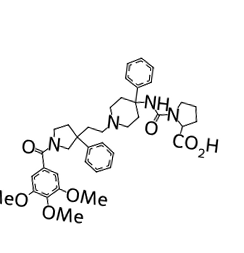 COc1cc(C(=O)N2CCC(CCN3CCC(NC(=O)N4CCCC4C(=O)O)(c4ccccc4)CC3)(c3ccccc3)C2)cc(OC)c1OC